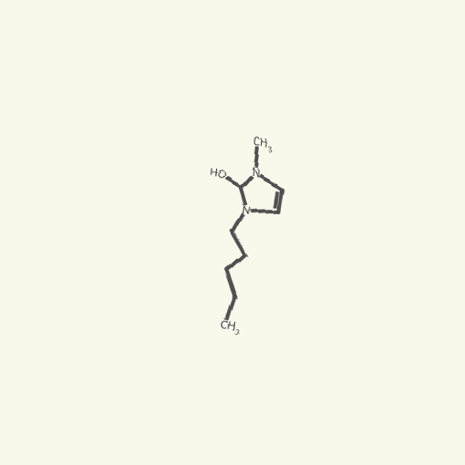 CCCCCN1C=CN(C)C1O